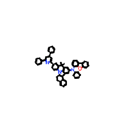 CC1(C)c2cc(-c3cc(-c4ccccc4)cc(-c4ccccc4)n3)ccc2-n2c3ccc4ccccc4c3c3cc(N(c4ccccc4)c4cccc5c4oc4ccccc45)cc1c32